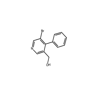 OCc1cncc(Br)c1-c1ccccc1